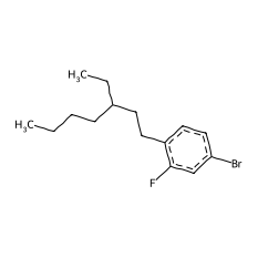 CCCCC(CC)CCc1ccc(Br)cc1F